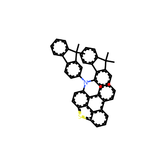 CC1(C)c2ccccc2-c2ccc(N(c3cccc4c3-c3ccccc3C4(C)C)c3ccc4sc5cccc6c7ccccc7c3c4c56)cc21